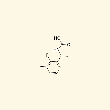 CC(NC(=O)O)c1cccc(I)c1F